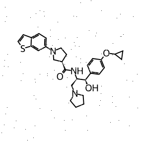 O=C(N[C@H](CN1CCCC1)[C@H](O)c1ccc(OC2CC2)cc1)[C@@H]1CCN(c2ccc3ccsc3c2)C1